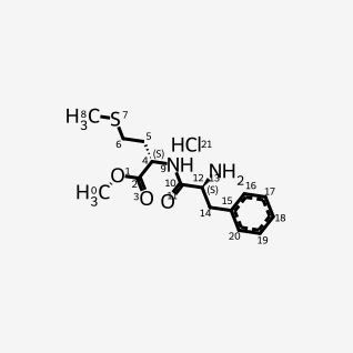 COC(=O)[C@H](CCSC)NC(=O)[C@@H](N)Cc1ccccc1.Cl